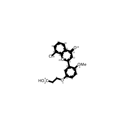 COc1ccc(OCCC(=O)O)cc1-c1cc(=O)c2cccc(Cl)c2o1